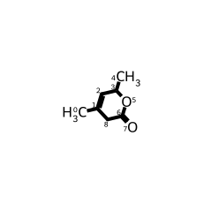 CC1=CC(C)OC(=O)C1